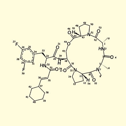 C[C@@H]1NC(=O)[C@H](C)N(C)C(=O)[C@@H]2CCCN2C(=O)[C@@H](NC(=O)[C@H](Cc2cc(F)cc(F)c2)NC(=O)/C=C/C2CCCCC2)COC(=O)[C@@H]2CCCN2C1=O